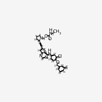 CCNC(=O)OCN1CCC[C@@H]1C#Cc1cc2ncnc(Nc3ccc(OCc4cccc(F)c4)c(Cl)c3)c2s1